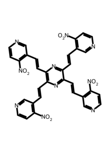 O=[N+]([O-])c1ccncc1C=Cc1nc(C=Cc2cnccc2[N+](=O)[O-])c(C=Cc2cnccc2[N+](=O)[O-])nc1C=Cc1cnccc1[N+](=O)[O-]